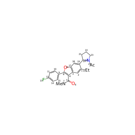 CCc1cc2c(C(=O)NC)c(-c3ccc(F)cc3)oc2cc1C1CCCN1C(C)=O